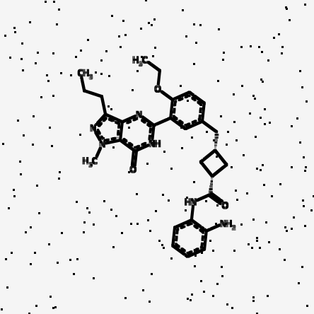 CCCc1nn(C)c2c(=O)[nH]c(-c3cc(C[C@H]4C[C@@H](C(=O)Nc5ccccc5N)C4)ccc3OCC)nc12